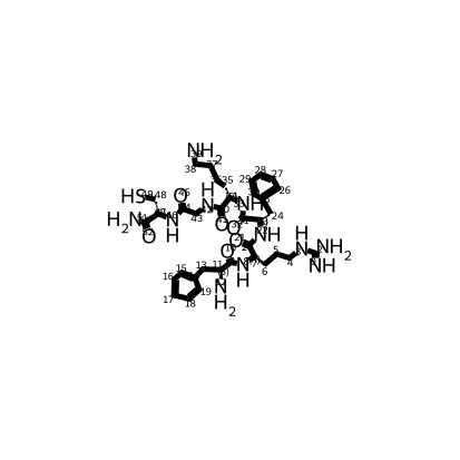 N=C(N)NCCC[C@@H](NC(=O)[C@@H](N)Cc1ccccc1)C(=O)N[C@@H](Cc1ccccc1)C(=O)N[C@@H](CCCCN)C(=O)NCC(=O)N[C@@H](CS)C(N)=O